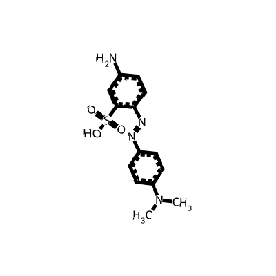 CN(C)c1ccc(N=Nc2ccc(N)cc2S(=O)(=O)O)cc1